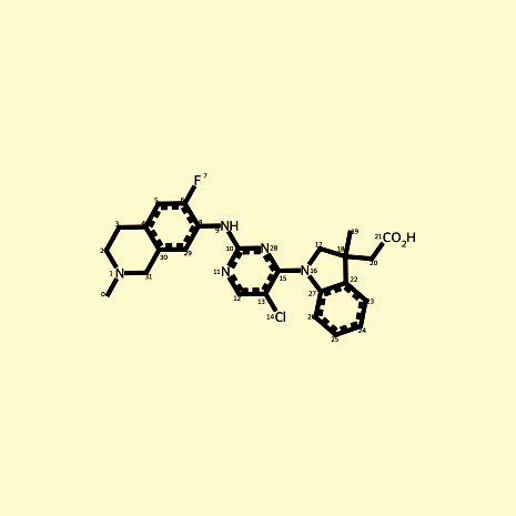 CN1CCc2cc(F)c(Nc3ncc(Cl)c(N4CC(C)(CC(=O)O)c5ccccc54)n3)cc2C1